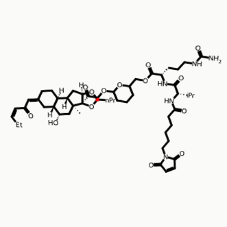 CC/C=C\C(=O)/C=C1/CC[C@@H]2[C@@H](C1)[C@@H](O)C[C@@]1(C)[C@H]2C[C@H]2OC(CCC)O[C@]21C(=O)COC1CCCC(COC(=O)[C@H](CCCNC(N)=O)NC(=O)[C@@H](NC(=O)CCCCCN2C(=O)C=CC2=O)C(C)C)O1